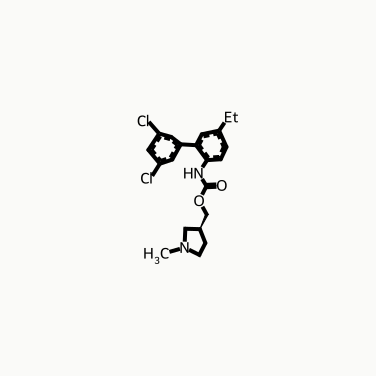 CCc1ccc(NC(=O)OC[C@H]2CCN(C)C2)c(-c2cc(Cl)cc(Cl)c2)c1